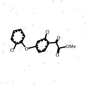 COC(=O)C(=O)c1ccc(Oc2ccccc2Cl)cc1Cl